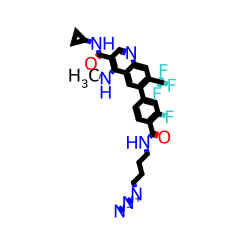 CNc1c(C(=O)NC2CC2)cnc2cc(C(F)(F)F)c(-c3ccc(C(=O)NCCCCN=[N+]=[N-])c(F)c3)cc12